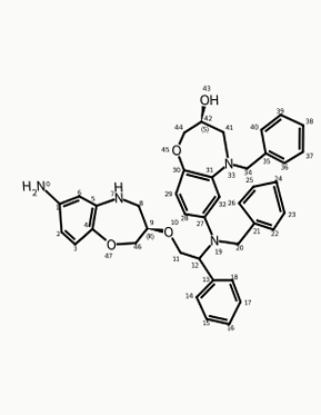 Nc1ccc2c(c1)NC[C@@H](OCC(c1ccccc1)N(Cc1ccccc1)c1ccc3c(c1)N(Cc1ccccc1)C[C@H](O)CO3)CO2